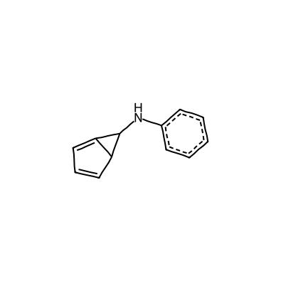 C1=CC2C(=C1)C2Nc1ccccc1